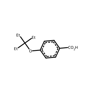 CCC(CC)(CC)Oc1ccc(C(=O)O)cc1